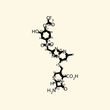 Cc1cc(SCC2=C(C(=O)O)N3C(=O)[C@@H](N)[C@H]3SC2)n2nc(CS(=O)(=O)c3ccc(OC(=O)C(F)(F)F)c(O)c3)nc2n1